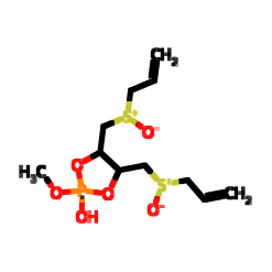 C=CC[S+]([O-])CC1O[P](O)(OC)OC1C[S+]([O-])CC=C